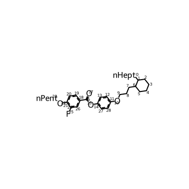 CCCCCCCC1CCCCC1CCCOc1ccc(OC(=O)c2ccc(OCCCCC)c(F)c2)cc1